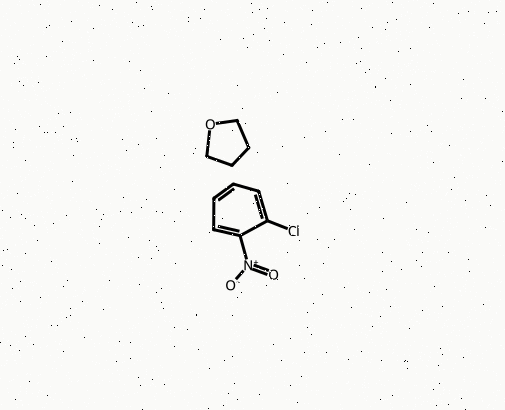 C1CCOC1.O=[N+]([O-])c1ccccc1Cl